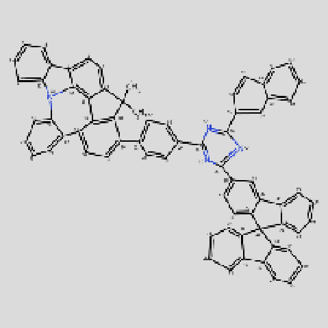 CC1(C)c2ccc3c4ccccc4n4c3c2-c2c(ccc(-c3ccc(-c5nc(-c6ccc7c(c6)-c6ccccc6C76c7ccccc7-c7ccccc76)nc(-c6ccc7ccccc7c6)n5)cc3)c21)-c1ccccc1-4